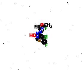 C=C(F)C(=O)N1CCN(C2=NC(O)N3CCSc4c(-c5ccc(F)cc5F)c(Cl)cc2c43)C[C@H]1C#N